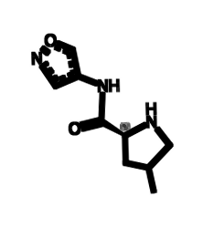 CC1CN[C@H](C(=O)Nc2cnoc2)C1